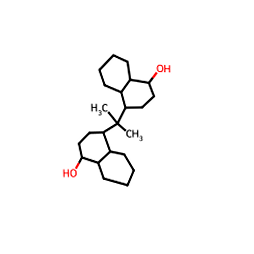 CC(C)(C1CCC(O)C2CCCCC21)C1CCC(O)C2CCCCC21